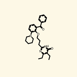 CCc1nc(CCCOc2c(C(=O)c3ccccc3)cccc2N2CCCCC2)[nH]c(=O)c1CC